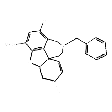 COc1cc(Br)c2c3c1OC1C[C@@H](O)C=CC31CCN(Cc1ccccc1)C2